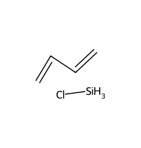 C=CC=C.[SiH3]Cl